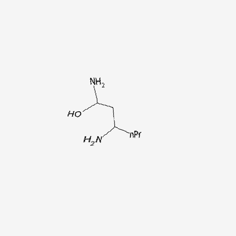 CCCC(N)CC(N)O